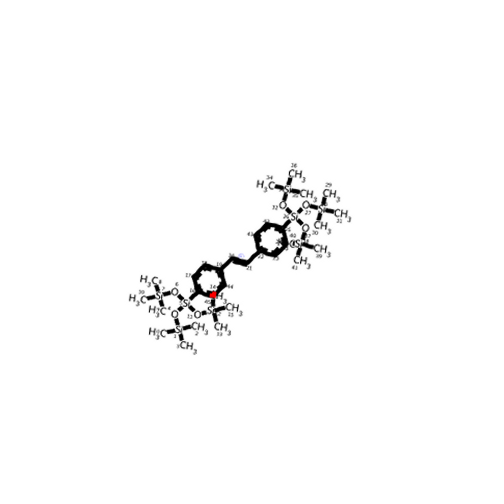 C[Si](C)(C)O[Si](O[Si](C)(C)C)(O[Si](C)(C)C)c1ccc(/C=C/c2ccc([Si](O[Si](C)(C)C)(O[Si](C)(C)C)O[Si](C)(C)C)cc2)cc1